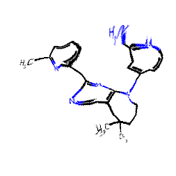 Cc1cccc(-c2ncc3c(n2)N(c2ccnc(N)c2)CCC3(C)C)n1